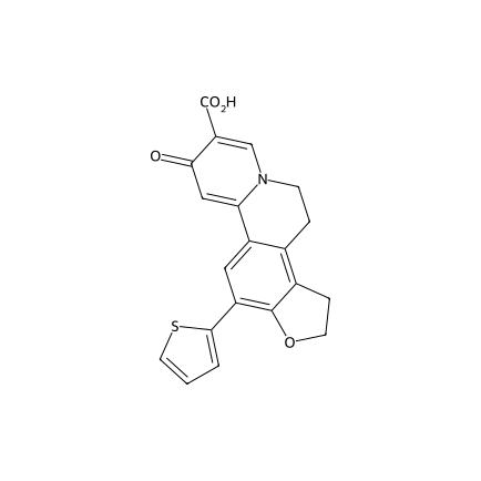 O=C(O)c1cn2c(cc1=O)-c1cc(-c3cccs3)c3c(c1CC2)CCO3